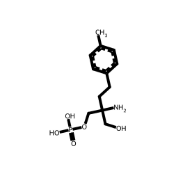 Cc1ccc(CCC(N)(CO)COP(=O)(O)O)cc1